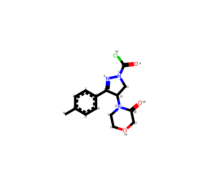 Cc1ccc(C2=NN(C(=O)Cl)CC2N2CCOCC2=O)cc1